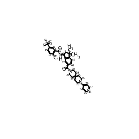 CC1(C)CC(NC(=O)c2cc(C(F)(F)F)ccc2Cl)c2cc(C(=O)N3CCC4(CC3)CCN(c3ccncc3)CC4)ccc21